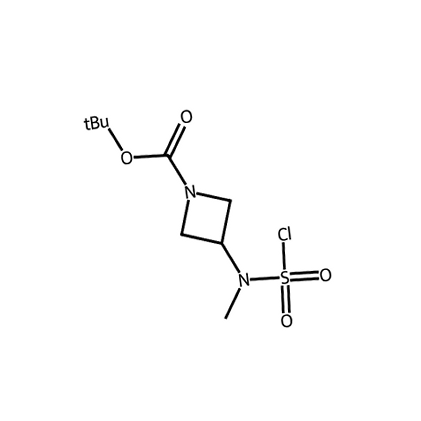 CN(C1CN(C(=O)OC(C)(C)C)C1)S(=O)(=O)Cl